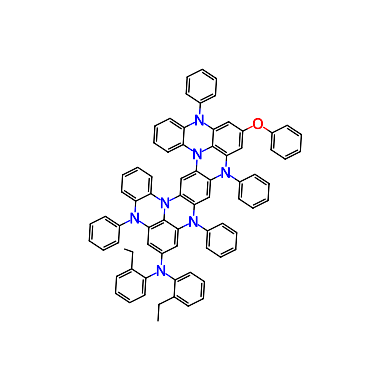 CCc1ccccc1N(c1cc2c3c(c1)n(-c1ccccc1)c1cc4c(cc1n3c1ccccc1n2-c1ccccc1)n1c2ccccc2n(-c2ccccc2)c2cc(Oc3ccccc3)cc(c21)n4-c1ccccc1)c1ccccc1CC